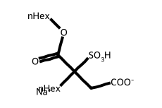 CCCCCCOC(=O)C(CCCCCC)(CC(=O)[O-])S(=O)(=O)O.[Na+]